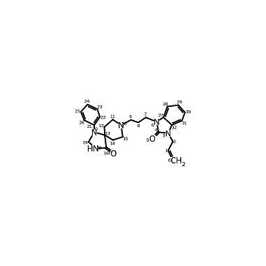 C=CCn1c(=O)n(CCCN2CCC3(CC2)C(=O)NCN3c2ccccc2)c2ccccc21